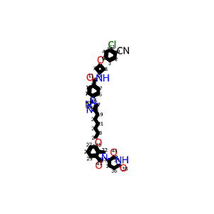 N#Cc1ccc(OC2CC(NC(=O)c3ccc(-n4cc(CCCCCCOc5cccc6c5CN(C5CCC(=O)NC5=O)C6=O)nn4)cc3)C2)cc1Cl